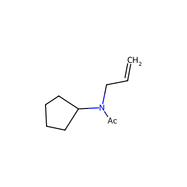 C=CCN(C(C)=O)C1CCCC1